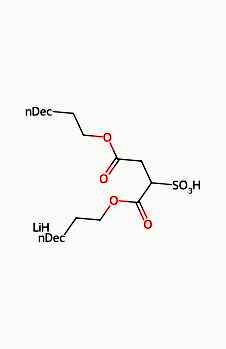 CCCCCCCCCCCCOC(=O)CC(C(=O)OCCCCCCCCCCCC)S(=O)(=O)O.[LiH]